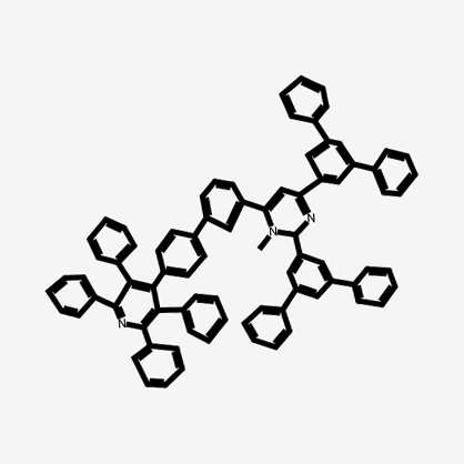 CN1C(c2cccc(-c3ccc(-c4c(-c5ccccc5)c(-c5ccccc5)nc(-c5ccccc5)c4-c4ccccc4)cc3)c2)=CC(c2cc(-c3ccccc3)cc(-c3ccccc3)c2)=NC1c1cc(-c2ccccc2)cc(-c2ccccc2)c1